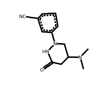 CN(C)C1CC(=O)NN(c2cccc(C#N)c2)C1